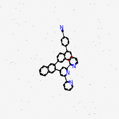 N#Cc1ccc(-c2cccc3cc(-c4cc5ccccc5cc4-c4cc(-c5ccccn5)nc(-c5ccccn5)c4)ccc23)cc1